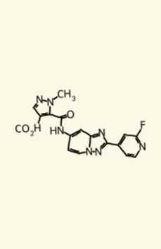 Cn1ncc(C(=O)O)c1C(=O)Nc1ccn2nc(-c3ccnc(F)c3)nc2c1